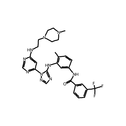 Cc1ccc(NC(=O)c2cccc(C(F)(F)F)c2)cc1Nc1ncnn1-c1cc(NCCN2CCN(C)CC2)ncn1